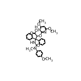 COc1ccc(N(C)C(=O)NC(c2ccccc2)(c2ccccc2)C(Oc2nc(OC)cc(OC)n2)C(=O)O)cc1